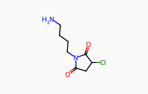 NCCCCN1C(=O)CC(Cl)C1=O